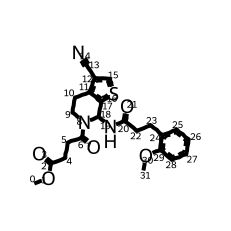 COC(=O)CCC(=O)N1CCc2c(C#N)csc2C1NC(=O)CCc1ccccc1OC